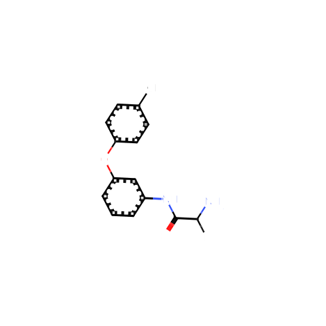 CCC(N)C(=O)Nc1cccc(Oc2ccc(C)cc2)c1